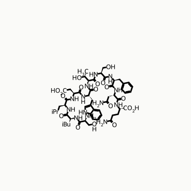 CC[C@H](C)[C@H](NC(=O)[C@@H](N)CO)C(=O)N[C@@H](CC(C)C)C(=O)N[C@@H](CC(=O)O)C(=O)N[C@@H](Cc1c[nH]c2ccccc12)C(=O)N[C@H](C(=O)N[C@@H](CO)C(=O)N[C@@H](Cc1ccccc1)C(=O)N[C@@H](CC(N)=O)C(=O)N[C@@H](CCC(N)=O)C(=O)O)[C@@H](C)O